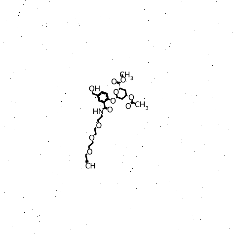 C#CCOCCOCCOCCNC(=O)c1cc(CO)ccc1O[C@H]1C[C@@H](OC(C)=O)C[C@@H](C(=O)OC)O1